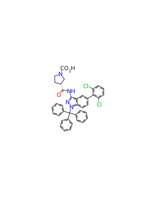 O=C(Nc1nn(C(c2ccccc2)(c2ccccc2)c2ccccc2)c2ccc(-c3c(Cl)cccc3Cl)cc12)[C@@H]1CCN(C(=O)O)C1